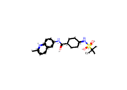 CCC(C)(C)S(=O)(=O)NC1CCC(C(=O)Nc2ccc3nc(C)ccc3c2)CC1